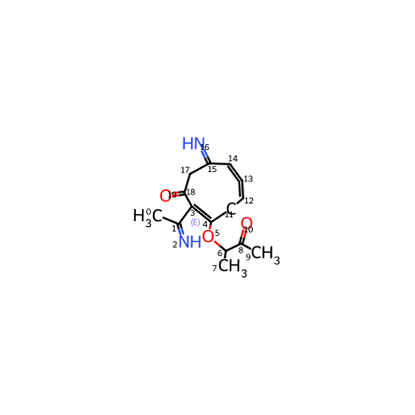 CC(=N)/C1=C(\OC(C)C(C)=O)CC=C=CC(=N)CC1=O